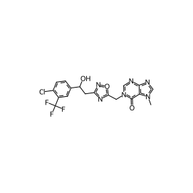 Cn1cnc2ncn(Cc3nc(CC(O)c4ccc(Cl)c(C(F)(F)F)c4)no3)c(=O)c21